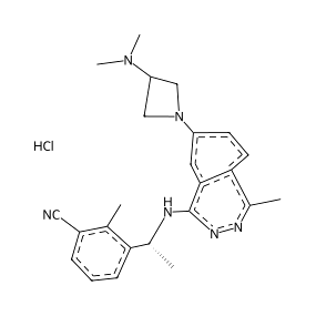 Cc1c(C#N)cccc1[C@@H](C)Nc1nnc(C)c2ccc(N3CC(N(C)C)C3)cc12.Cl